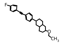 CCOC1CCC2CC(c3ccc(C#Cc4ccc(F)cc4)cc3)CCC2C1